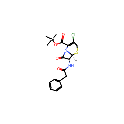 C[Si](C)(C)OC(=O)C1=C(Cl)CS[C@H]2[C@H](NC(=O)Cc3ccccc3)C(=O)N12